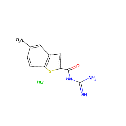 Cl.N=C(N)NC(=O)c1cc2cc([N+](=O)[O-])ccc2s1